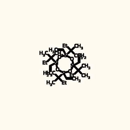 C=C[Si]1(C(C)(C)CC)O[Si](C=C)(C(C)(C)CC)O[Si](C=C)(C(C)(C)CC)O[Si](C=C)(C(C)(C)CC)O1